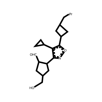 CC(C)CC1CC(c2onc(C3CC(CO)CC3C=O)c2C2CC2)C1